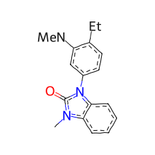 CCc1ccc(-n2c(=O)n(C)c3ccccc32)cc1NC